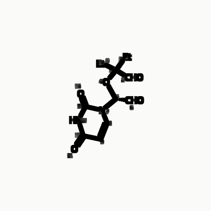 CCC(C=O)(CC)O[C@H](C=O)n1ccc(=O)[nH]c1=O